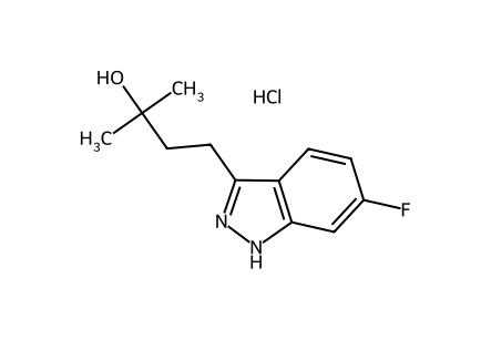 CC(C)(O)CCc1n[nH]c2cc(F)ccc12.Cl